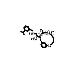 CC(C)c1cccc(CNC[C@@H](O)[C@@H]2Cc3cccc(c3)OCCCCC(=O)N(C)[C@@H](C)C(=O)N2)c1